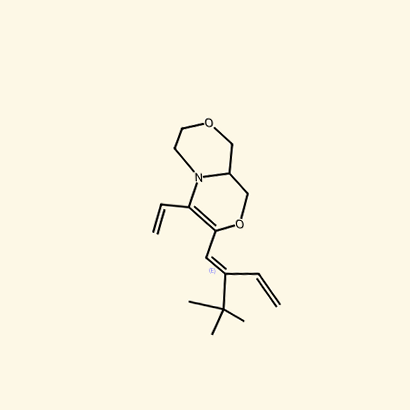 C=CC1=C(/C=C(\C=C)C(C)(C)C)OCC2COCCN12